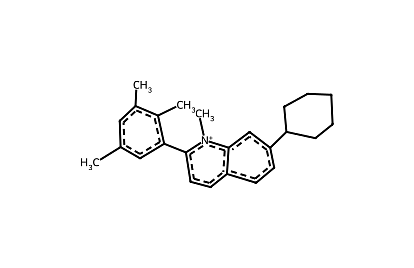 Cc1cc(C)c(C)c(-c2ccc3ccc(C4CCCCC4)cc3[n+]2C)c1